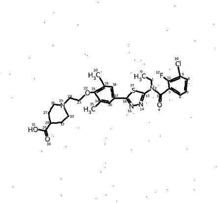 CCN(C(=O)c1cccc(Cl)c1F)c1nnc(-c2cc(C)c(OCCN3CCC(C(=O)O)CC3)c(C)c2)s1